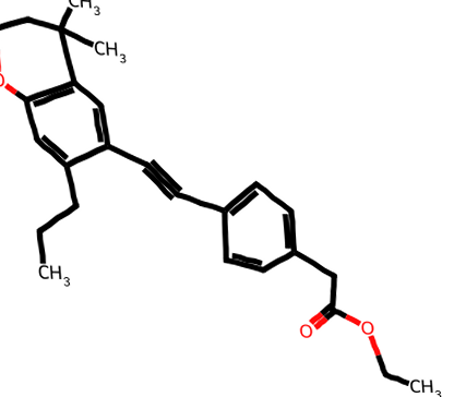 CCCc1cc2c(cc1C#Cc1ccc(CC(=O)OCC)cc1)C(C)(C)CCO2